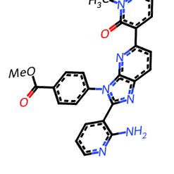 COC(=O)c1ccc(-n2c(-c3cccnc3N)nc3ccc(-c4cccn(C)c4=O)nc32)cc1